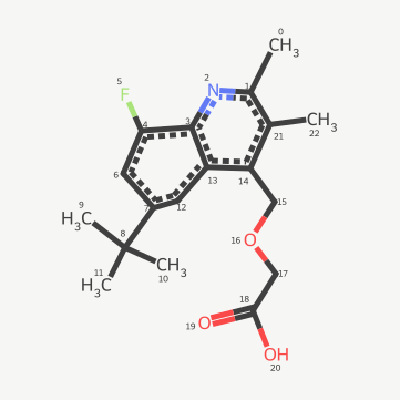 Cc1nc2c(F)cc(C(C)(C)C)cc2c(COCC(=O)O)c1C